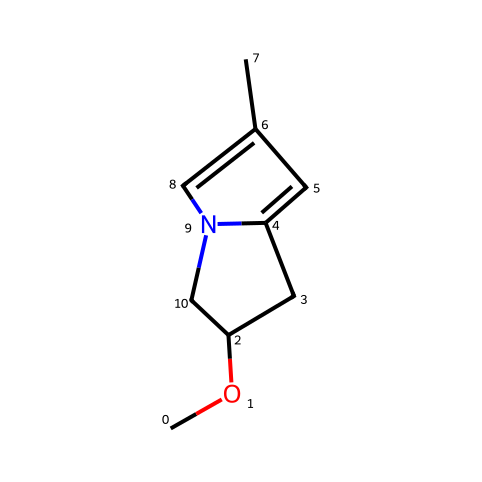 COC1Cc2cc(C)cn2C1